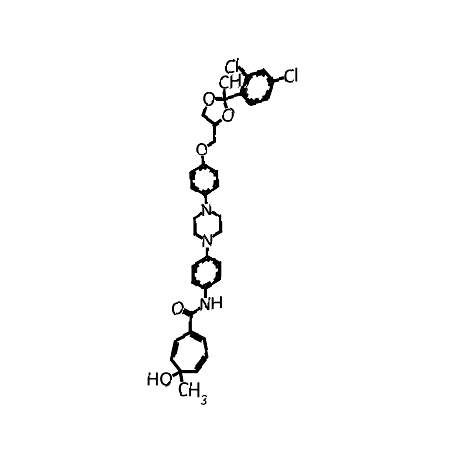 CC1(O)C=CC=C(C(=O)Nc2ccc(N3CCN(c4ccc(OCC5COC(C)(c6ccc(Cl)cc6Cl)O5)cc4)CC3)cc2)C=C1